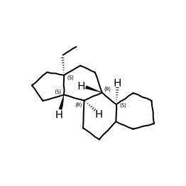 CC[C@@]12CCC[C@H]1[C@@H]1CCC3CCCC[C@@H]3[C@H]1CC2